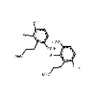 CCCCCCCCc1ccc(C(=O)O)c(CCOC)c1CC.CCCCCCCCc1ccc(C(=O)O)c(CCOC)c1CCC